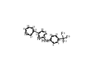 FC(F)(F)c1ccc(Nc2nc(-c3cccnc3)cs2)cc1